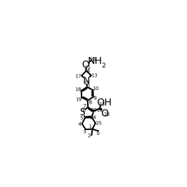 CC1(C)CCc2sc(-c3ccc(N4CC(ON)C4)cc3)c(C(=O)O)c2C1